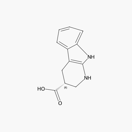 O=C(O)[C@H]1CNc2[nH]c3ccccc3c2C1